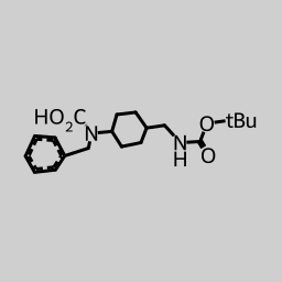 CC(C)(C)OC(=O)NCC1CCC(N(Cc2ccccc2)C(=O)O)CC1